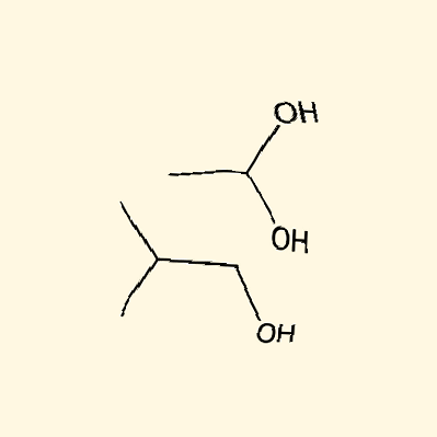 CC(C)CO.CC(O)O